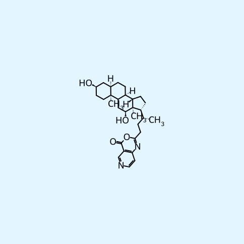 C[C@H](CCc1nc2ccncc2c(=O)o1)[C@H]1CC[C@H]2[C@@H]3CC[C@@H]4C[C@H](O)CC[C@]4(C)C3C[C@H](O)[C@]12C